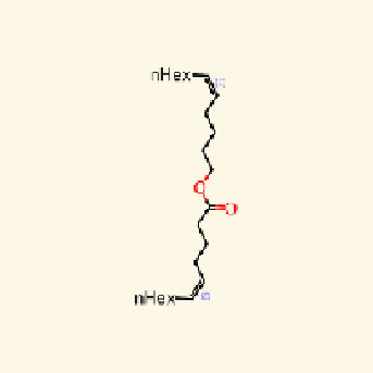 CCCCCC/C=C\CCCCOC(=O)CCC/C=C\CCCCCC